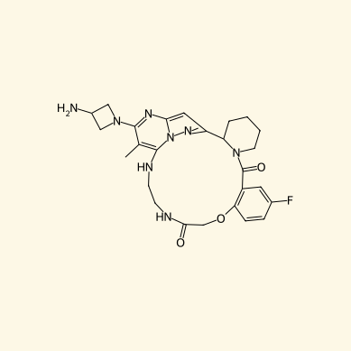 Cc1c(N2CC(N)C2)nc2cc3nn2c1NCCNC(=O)COc1ccc(F)cc1C(=O)N1CCCCC31